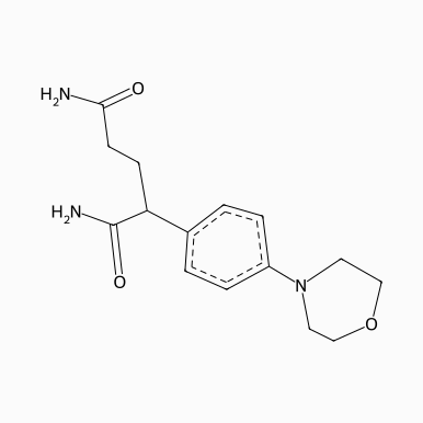 NC(=O)CCC(C(N)=O)c1ccc(N2CCOCC2)cc1